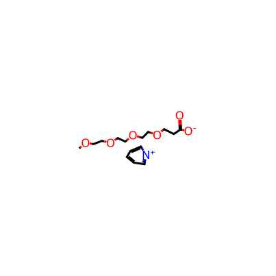 COCCOCCOCCOCCC(=O)[O-].C[n+]1ccccc1